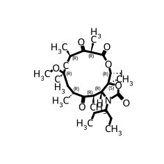 CCC(CC)N1C(=O)O[C@]2(C)[C@@H](I)OC(=O)[C@H](C)C(=O)[C@H](C)C[C@](C)(OC)C[C@@H](C)C(=O)[C@H](C)[C@@H]12